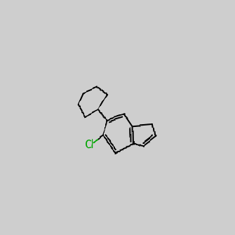 Clc1cc2c(cc1C1CCCCC1)CC=C2